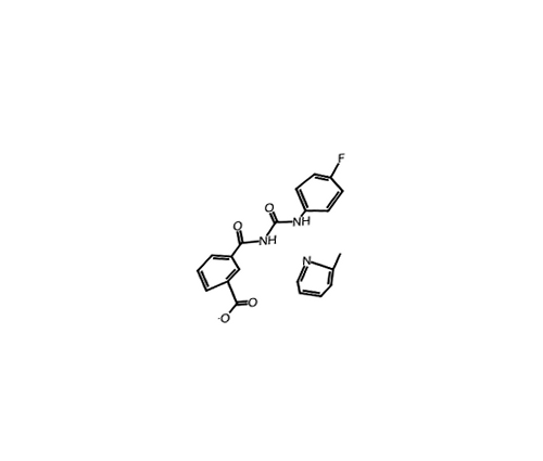 Cc1ccccn1.[O]C(=O)c1cccc(C(=O)NC(=O)Nc2ccc(F)cc2)c1